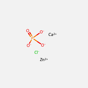 O=P([O-])([O-])[O-].[Ca+2].[Cl-].[Zn+2]